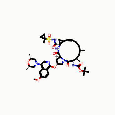 COc1ccc2c(O[C@@H]3C[C@H]4C(=O)N[C@]5(C(=O)NS(=O)(=O)C6(C)CC6)CC5/C=C\CC[C@@H](C)C[C@@H](C)[C@H](NC(=O)OC(C)(C)C)C(=O)N4C3)ncc(N3C[C@@H](C)O[C@@H](C)C3)c2c1